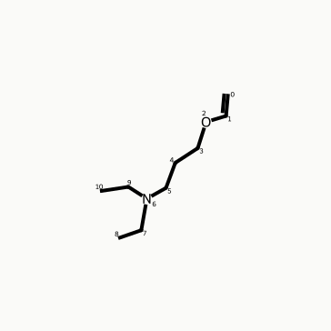 C=COCCCN(CC)CC